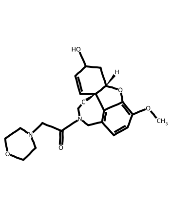 COc1ccc2c3c1O[C@H]1CC(O)C=C[C@@]31CCN(C(=O)CN1CCOCC1)C2